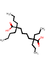 CCCCC(CCCC)(CCCCC(CCC)(CCC)C(=O)O)C(=O)O